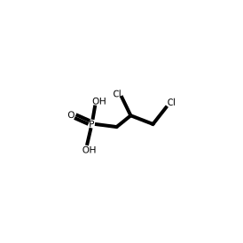 O=P(O)(O)CC(Cl)CCl